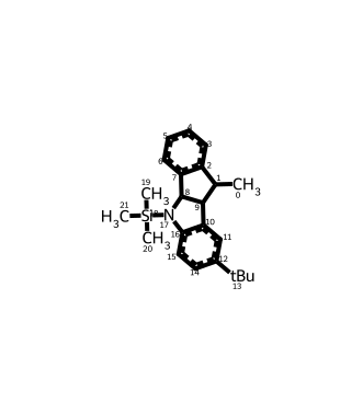 CC1c2ccccc2C2C1c1cc(C(C)(C)C)ccc1N2[Si](C)(C)C